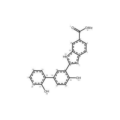 COC(=O)c1ccc2nc(-c3cc(-c4cccnc4O)ccc3O)[nH]c2c1